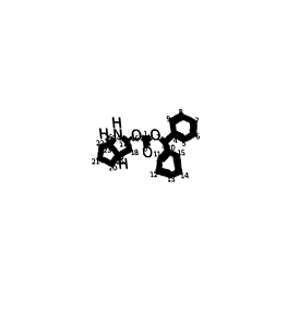 O=C(OC(c1ccccc1)c1ccccc1)O[C@H]1C[C@@H]2CCC[C@@H]2N1